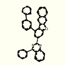 c1ccc(-c2cccc(-c3cc(-c4nc(-c5ccccc5)c5ccccc5n4)cc4oc5cc6ccccc6cc5c34)c2)cc1